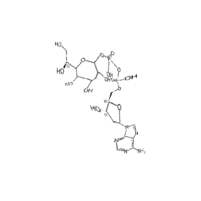 Nc1ncnc2c1ncn2C1C[C@H](O)[C@@H](COP(=O)(O)OP(=O)(O)OC2OC([C@@H](O)CO)C(O)C(O)C2O)O1